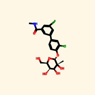 CNC(=O)c1cc(F)cc(-c2ccc(O[C@H]3O[C@H](CO)[C@@H](O)[C@H](O)[C@]3(C)O)c(Cl)c2)c1